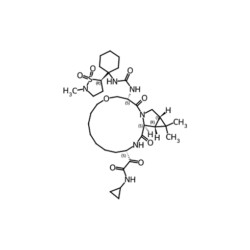 CN1CC[C@H](C2(NC(=O)N[C@H]3COCCCCCCC[C@@H](C(=O)C(=O)NC4CC4)NC(=O)[C@@H]4[C@@H]5[C@H](CN4C3=O)C5(C)C)CCCCC2)S1(=O)=O